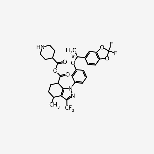 CC1CCC(C(=O)OC(=O)C2CCNCC2)c2c1c(C(F)(F)F)nn2-c1cccc(O[C@@H](C)c2ccc3c(c2)OC(F)(F)O3)c1